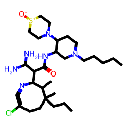 CCCCCN1CCC(N2CC[S+]([O-])CC2)C(NC(=O)C(C(N)N)C2N=C=C(Cl)CCC(C)(CCC)C2C)C1